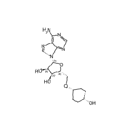 Nc1ncnc2c1ncn2[C@@H]1O[C@H](CO[C@H]2CC[C@@H](O)CC2)[C@@H](O)[C@H]1O